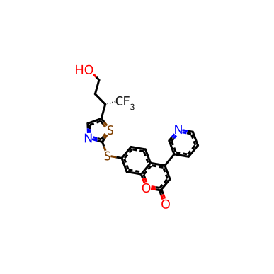 O=c1cc(-c2cccnc2)c2ccc(Sc3ncc([C@H](CCO)C(F)(F)F)s3)cc2o1